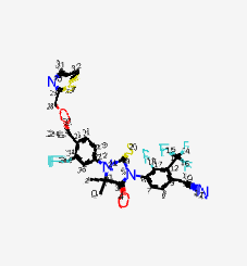 CC1(C)C(=O)N(c2ccc(C#N)c(C(F)(F)F)c2F)C(=S)N1c1ccc(COCc2nccs2)c(F)c1